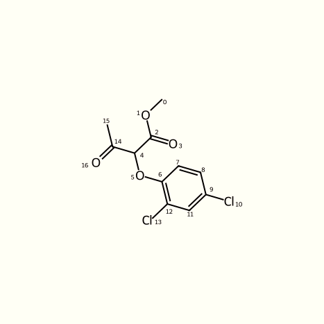 COC(=O)C(Oc1ccc(Cl)cc1Cl)C(C)=O